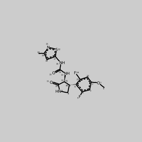 COc1cc(F)c([C@@H]2CNC(=O)[C@H]2NC(=O)Nc2cc(C)ns2)c(F)c1